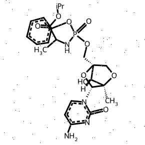 CC(C)OC(=O)C(C)NP(=O)(OC[C@]12CO[C@](C)([C@@H]1O)[C@H](n1ccc(N)nc1=O)O2)Oc1ccccc1